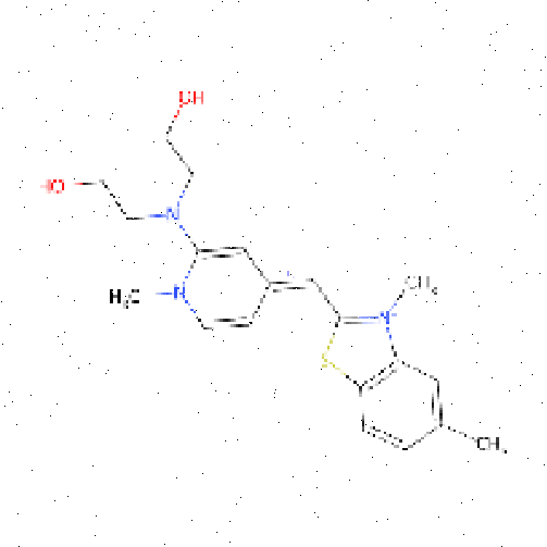 Cc1ccc2sc(/C=C3\C=CN(C)C(N(CCO)CCO)=C3)[n+](C)c2c1